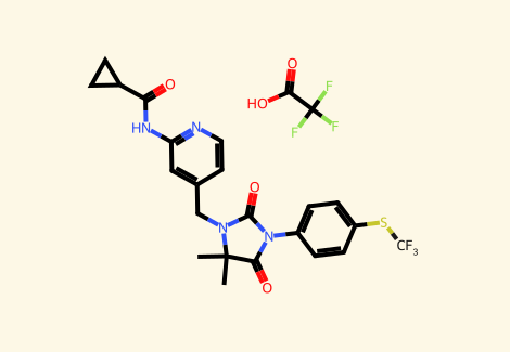 CC1(C)C(=O)N(c2ccc(SC(F)(F)F)cc2)C(=O)N1Cc1ccnc(NC(=O)C2CC2)c1.O=C(O)C(F)(F)F